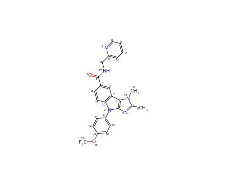 Cc1nc2c(c3cc(C(=O)NCc4ccccn4)ccc3n2-c2ccc(OC(F)(F)F)cc2)n1C